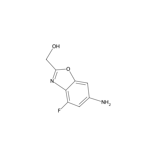 Nc1cc(F)c2nc(CO)oc2c1